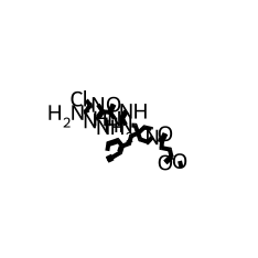 C#C/C=C(\C=C/C)CCC1(CNC(=N)NC(=O)c2nc(Cl)c(N)nc2N)CCN(C(=O)CCC(=O)OC)CC1